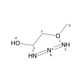 COCCO.N=[N+]=N